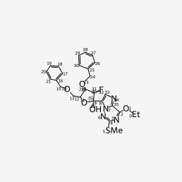 CCOc1nc(SC)nn2c([C@]3(O)OC(COCc4ccccc4)[C@@H](OCc4ccccc4)[C@H]3F)cnc12